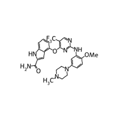 COc1ccc(N2CCN(C)CC2)cc1Nc1ncc(C(F)(F)F)c(Oc2cccc3[nH]c(C(N)=O)cc23)n1